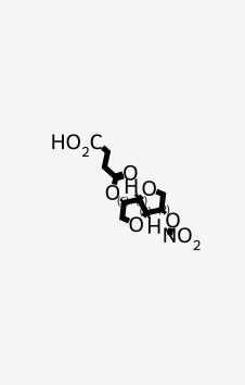 O=C(O)CCC(=O)O[C@H]1CO[C@H]2[C@H]1OC[C@H]2O[N+](=O)[O-]